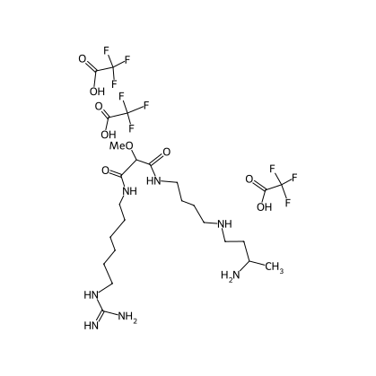 COC(C(=O)NCCCCCCNC(=N)N)C(=O)NCCCCNCCC(C)N.O=C(O)C(F)(F)F.O=C(O)C(F)(F)F.O=C(O)C(F)(F)F